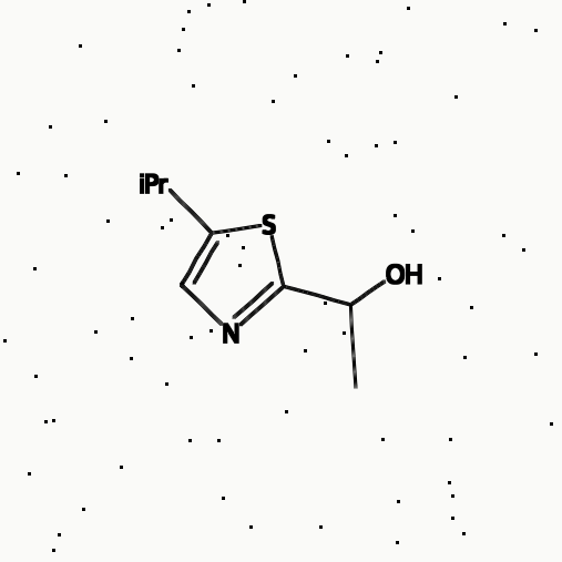 CC(C)c1cnc(C(C)O)s1